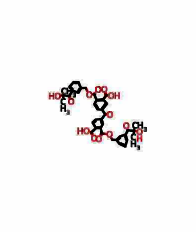 CC(C)(O)C(=O)c1cccc(COC(=O)c2ccc(C(=O)c3ccc(C(=O)O)c(C(=O)OCc4cccc(C(=O)C(C)(C)O)c4)c3)cc2C(=O)O)c1